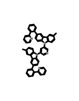 Cc1ccc2c(c1)c1cc(-c3ccccc3-c3ccccn3)ccc1n2-c1cncc(-n2c3ccc(C)cc3c3cc(-c4ccccc4-c4ccccn4)ccc32)c1